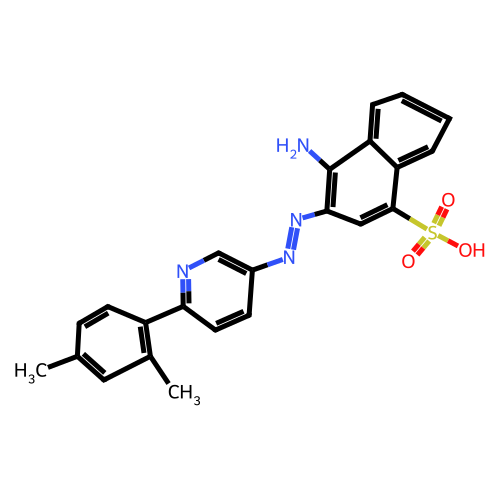 Cc1ccc(-c2ccc(/N=N/c3cc(S(=O)(=O)O)c4ccccc4c3N)cn2)c(C)c1